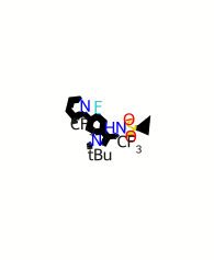 CC(C)(C)Cn1cc(C(NS(=O)(=O)C2CC2)C(F)(F)F)c2cc(F)c(-c3ncccc3C(F)(F)F)cc21